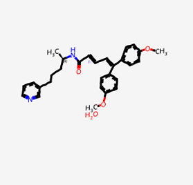 COc1ccc(C(=C/C=C/C(=O)N[C@H](C)CCCc2cccnc2)c2ccc(OC)cc2)cc1.O